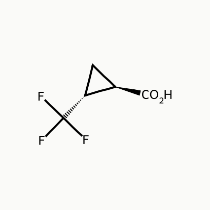 O=C(O)[C@@H]1C[C@H]1C(F)(F)F